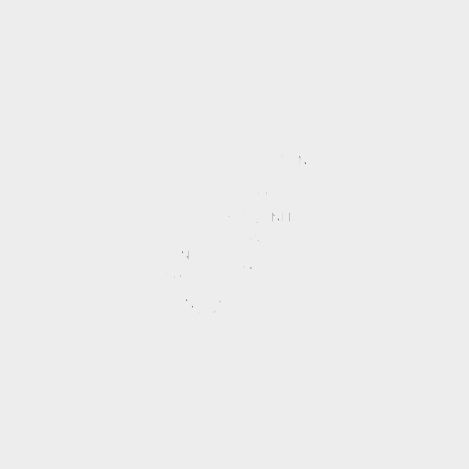 CNC(=O)c1cc(Oc2ccc3c(NS(=O)(=O)C4C=NC=CC4)cccc3c2)ccn1